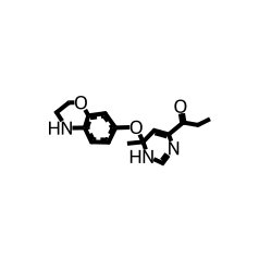 CCC(=O)C1=CC(C)(Oc2ccc3c(c2)OCCN3)NC=N1